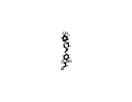 Cc1ccc(N2CCN(CC[C@H]3CC[C@H](NC(=O)CC#N)CC3)CC2)cc1